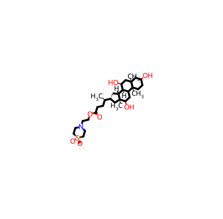 C[C@@H](CCC(=O)OCCN1CCS(=O)(=O)CC1)[C@@H]1C[C@@H]2[C@@H]3C(C[C@@H](O)[C@@]2(C)C1)[C@]1(C)CC[C@H](O)C[C@]1(C)C[C@@H]3O